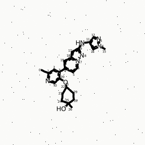 Cc1cc(-c2ccn3nc(Nc4cnn(C)c4)cc3c2)c(OC2CCC(C)(O)CC2)cn1